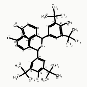 CC(C)(C)c1cc(C(SC(c2ccc(Cl)cc2)c2cc(C(C)(C)C)c(O)c(C(C)(C)C)c2)c2ccc(Cl)cc2)cc(C(C)(C)C)c1O